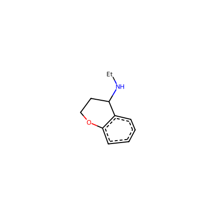 CCNC1CCOc2ccccc21